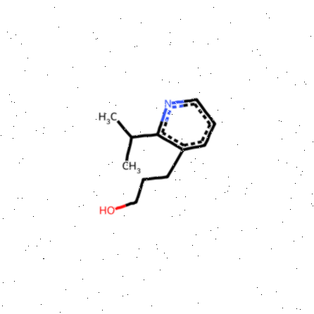 CC(C)c1ncccc1CCCO